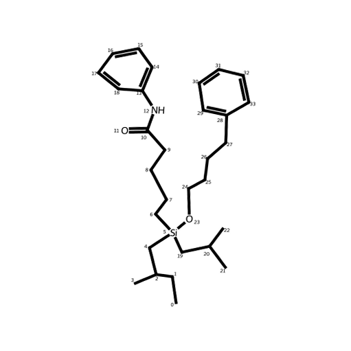 CCC(C)C[Si](CCCCC(=O)Nc1ccccc1)(CC(C)C)OCCCCc1ccccc1